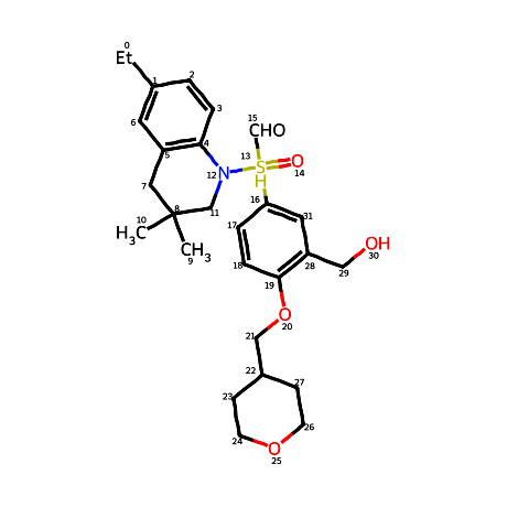 CCc1ccc2c(c1)CC(C)(C)CN2[SH](=O)(C=O)c1ccc(OCC2CCOCC2)c(CO)c1